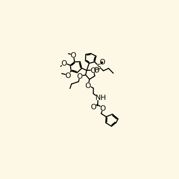 CCCOC1C(OCCNC(=O)OCc2ccccc2)COC1(c1cc(OC)c(OC)c(OC)c1)c1ccccc1S(=O)(=O)CCC